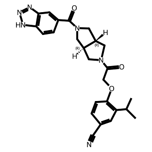 CC(C)c1cc(C#N)ccc1OCC(=O)N1C[C@H]2CN(C(=O)c3ccc4[nH]nnc4c3)C[C@@H]2C1